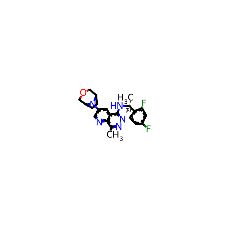 Cc1nnc(N[C@H](C)c2ccc(F)cc2F)c2cc(N3C4CCC3COC4)cnc12